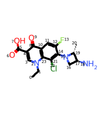 CCn1cc(C(=O)O)c(=O)c2cc(F)c(N3C[C@H](N)[C@H]3C)c(Cl)c21